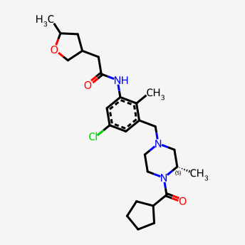 Cc1c(CN2CCN(C(=O)C3CCCC3)[C@@H](C)C2)cc(Cl)cc1NC(=O)CC1COC(C)C1